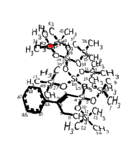 CCC(=C[Si](O[Si](C)(C)C)(O[Si](C)(C)C)O[Si](O[Si](C)(C)C)(O[Si](C)(C)C)O[Si](O[Si](C)(C)C)(O[Si](C)(C)C)O[Si](C)(C)C)c1ccccc1